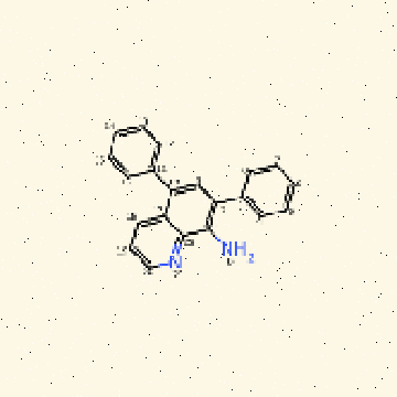 Nc1c(-c2ccccc2)cc(-c2ccccc2)c2cccnc12